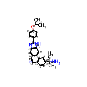 CC(C)Oc1ccc(-c2nc3cc(/C=C\c4ccc(C(C)(C)N)cc4)ccc3[nH]2)cc1